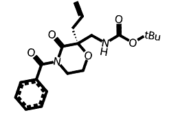 C=CC[C@]1(CNC(=O)OC(C)(C)C)OCCN(C(=O)c2ccccc2)C1=O